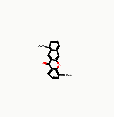 COc1cccc2cc3oc4c(OC)cccc4c(=O)c3cc12